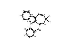 CC1(C)C=Cc2c3n(c4ccccc24)-c2ccccc2CC3=C1